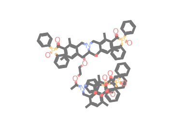 Cc1cc(C)c(C(=O)P(=O)(c2ccccc2)c2ccccc2)c(C)c1CN(Cc1c(C)cc(C)c(C(=O)P(=O)(c2ccccc2)c2ccccc2)c1C)C(C)COCCOC(C)N(Cc1c(C)cc(C)c(C(=O)P(=O)(c2ccccc2)c2ccccc2)c1C)Cc1c(C)cc(C)c(C(=O)P(=O)(c2ccccc2)c2ccccc2)c1C